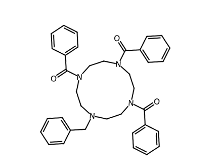 O=C(c1ccccc1)N1CCN(Cc2ccccc2)CCN(C(=O)c2ccccc2)CCN(C(=O)c2ccccc2)CC1